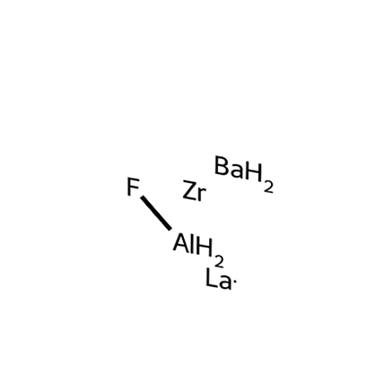 [BaH2].[F][AlH2].[La].[Zr]